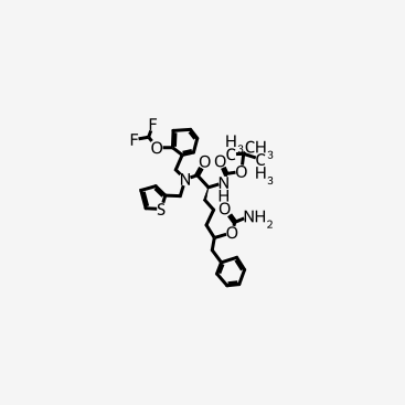 CC(C)(C)OC(=O)N[C@@H](CCCC(Cc1ccccc1)OC(N)=O)C(=O)N(Cc1cccs1)Cc1ccccc1OC(F)F